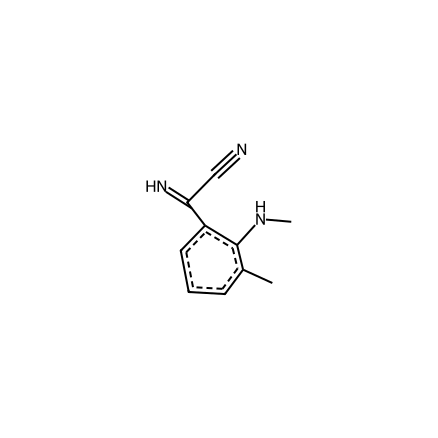 CNc1c(C)cccc1C(=N)C#N